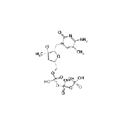 Cc1cn(C[C@@H]2O[C@H](COP(=O)(O)OP(=O)(O)OP(=O)(O)O)C[C@@]2(C)Cl)c(=O)nc1N